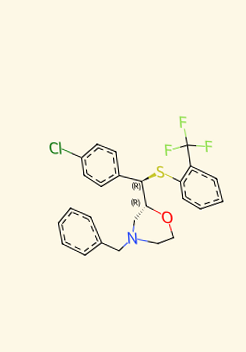 FC(F)(F)c1ccccc1S[C@H](c1ccc(Cl)cc1)[C@H]1CN(Cc2ccccc2)CCO1